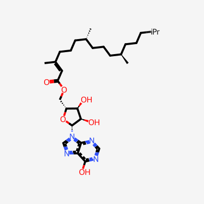 C/C(=C\C(=O)OC[C@H]1O[C@@H](n2cnc3c(O)ncnc32)[C@H](O)[C@@H]1O)CCC[C@H](C)CCC[C@H](C)CCCC(C)C